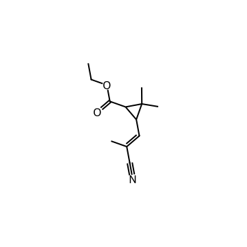 CCOC(=O)C1C(/C=C(\C)C#N)C1(C)C